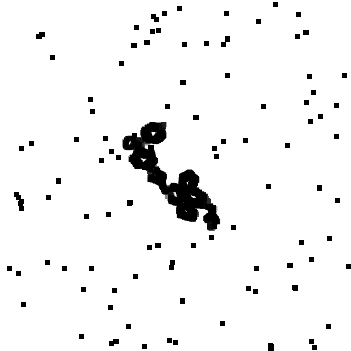 [O-][S+](c1ccncc1)c1ccc(N2CC(CN3CCC(C4(C5CCCC5)CN(CC5COC5)Cc5ccccc54)CC3)C2)cc1